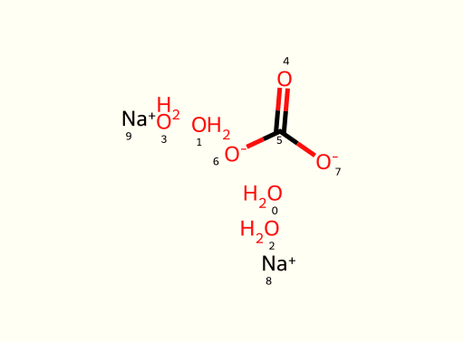 O.O.O.O.O=C([O-])[O-].[Na+].[Na+]